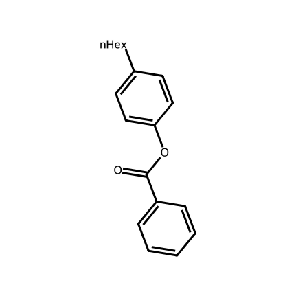 CCCCCCc1ccc(OC(=O)c2ccccc2)cc1